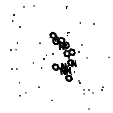 c1ccc(-c2nc(-c3ccccc3)nc(-c3cncc(-c4ccc(-c5nc6c(ccc7c8ccccc8oc76)o5)c5ccccc45)c3)n2)cc1